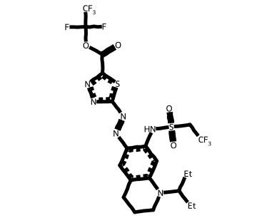 CCC(CC)N1CCCc2cc(N=Nc3nnc(C(=O)OC(F)(F)C(F)(F)F)s3)c(NS(=O)(=O)CC(F)(F)F)cc21